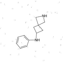 c1ccc(NC2CC3(CNC3)C2)cc1